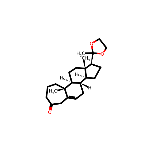 CC1([C@H]2CC[C@H]3[C@@H]4CC=C5CC(=O)CCC[C@]5(C)[C@H]4CC[C@]23C)OCCO1